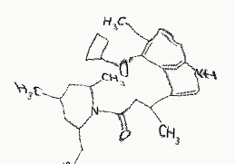 Cc1ccc2[nH]cc(C(C)CC(=O)N3C(C)CC(C)CC3CC(C)(C)C)c2c1OC1CC1